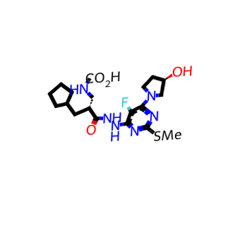 CSc1nc(NNC(=O)[C@@H](CNC(=O)O)CC2CCCC2)c(F)c(N2CC[C@@H](O)C2)n1